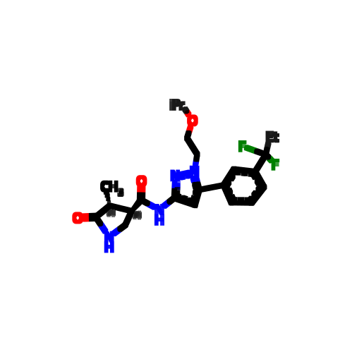 CCC(F)(F)c1cccc(-c2cc(NC(=O)[C@H]3CNC(=O)[C@@H]3C)nn2CCOC(C)C)c1